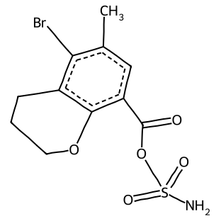 Cc1cc(C(=O)OS(N)(=O)=O)c2c(c1Br)CCCO2